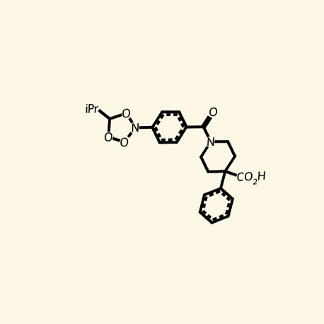 CC(C)C1OON(c2ccc(C(=O)N3CCC(C(=O)O)(c4ccccc4)CC3)cc2)O1